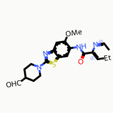 C/C=N\C(=C/CC)C(=O)Nc1cc2sc(N3CCC(C=O)CC3)nc2cc1OC